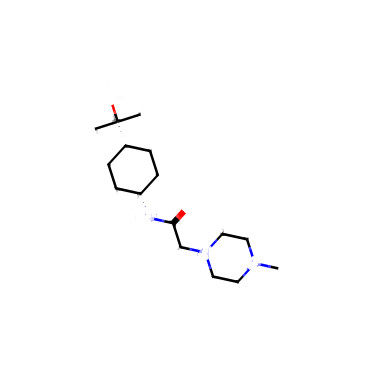 CN1CCN(CC(=O)N[C@H]2CC[C@@H](C(C)(C)O)CC2)CC1